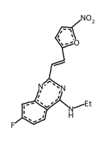 CCNc1nc(C=Cc2ccc([N+](=O)[O-])o2)nc2cc(F)ccc12